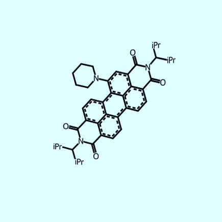 CC(C)C(C(C)C)N1C(=O)c2ccc3c4ccc5c6c(cc(N7CCCCC7)c(c7ccc(c2c37)C1=O)c64)C(=O)N(C(C(C)C)C(C)C)C5=O